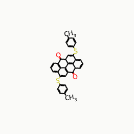 Cc1ccc(SC2=CC3C(=O)c4cccc5c(Sc6ccc(C)cc6)cc6c(c45)C3=C3C2=CC=CC3C6=O)cc1